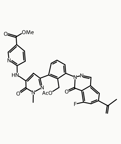 C=C(C)c1cc(F)c2c(=O)n(-c3cccc(-c4cc(Nc5ccc(C(=O)OC)cn5)c(=O)n(C)n4)c3COC(C)=O)ncc2c1